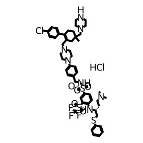 CN(C)CC[C@H](CSc1ccccc1)Nc1ccc(S(=O)(=O)NC(=O)c2ccc(N3CCN(CC4=C(c5ccc(Cl)cc5)CCC(C)(CN5CCNCC5)C4)CC3)cc2)cc1S(=O)(=O)C(F)(F)F.Cl